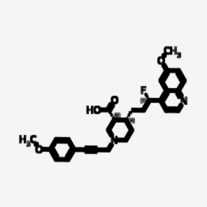 COc1ccc(C#CCN2CC[C@@H](CC[C@H](F)c3ccnc4ccc(OC)cc34)[C@@H](C(=O)O)C2)cc1